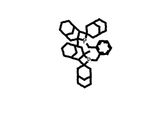 CC12CC3CCCC(C3)C1C1(CC3CCCC(C3)C1)P2Cc1ccccc1CP1C2(C)CC3CCCC(C3)C2C12CC1CCCC(C1)C2